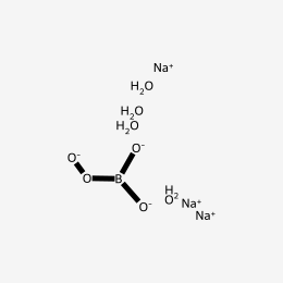 O.O.O.O.[Na+].[Na+].[Na+].[O-]OB([O-])[O-]